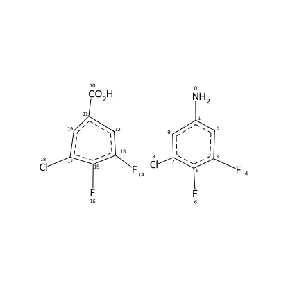 Nc1cc(F)c(F)c(Cl)c1.O=C(O)c1cc(F)c(F)c(Cl)c1